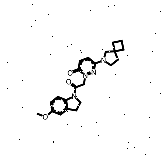 COc1ccc2c(c1)CCN2C(=O)Cn1nc(N2CCC3(CCC3)C2)ccc1=O